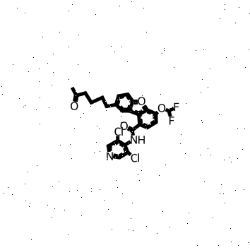 CC(=O)CCCCc1ccc2oc3c(OC(F)F)ccc(C(=O)Nc4c(Cl)cncc4Cl)c3c2c1